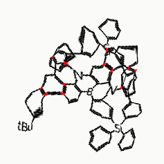 CC(C)(C)c1cccc(-c2ccc3c(c2)N(c2ccccc2-c2ccccc2)c2cc([Si](c4ccccc4)(c4ccccc4)c4cccc(-c5ccccc5)c4)cc4c2B3c2ccc([Si](c3ccccc3)(c3ccccc3)c3cccc(-c5ccccc5)c3)cc2N4c2ccccc2-c2ccccc2)c1